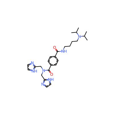 CC(C)N(CCCCNC(=O)c1ccc(C(=O)N(Cc2ncc[nH]2)Cc2ncc[nH]2)cc1)C(C)C